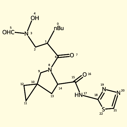 CCCCC(CN(O)C=O)C(=O)N1CC2(CC2)CC1C(=O)Nc1nncs1